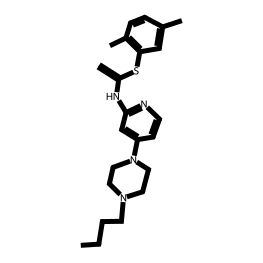 C=C(Nc1cc(N2CCN(CCCC)CC2)ccn1)Sc1cc(C)ccc1C